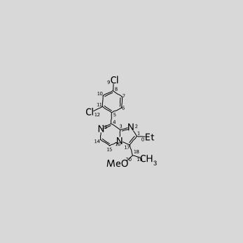 CCc1nc2c(-c3ccc(Cl)cc3Cl)nccn2c1C(C)OC